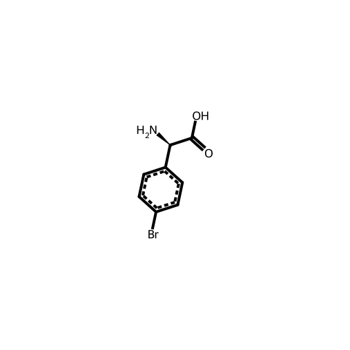 N[C@@H](C(=O)O)c1ccc(Br)cc1